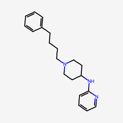 c1ccc(CCCCN2CCC(Nc3ccccn3)CC2)cc1